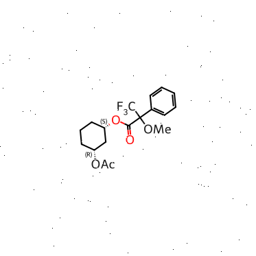 COC(C(=O)O[C@H]1CCC[C@@H](OC(C)=O)C1)(c1ccccc1)C(F)(F)F